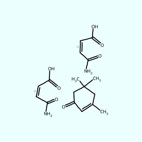 CC1=CC(=O)CC(C)(C)C1.NC(=O)/C=C\C(=O)O.NC(=O)/C=C\C(=O)O